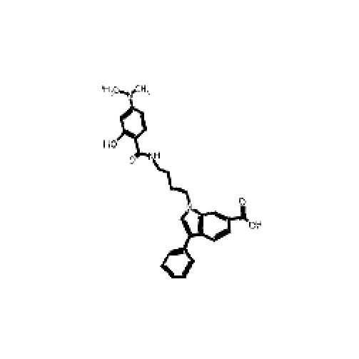 CN(C)c1ccc(C(=O)NCCCCn2cc(-c3ccccc3)c3ccc(C(=O)O)cc32)c(O)c1